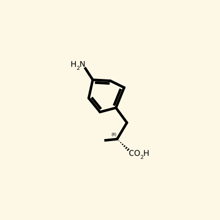 C[C@H](Cc1ccc(N)cc1)C(=O)O